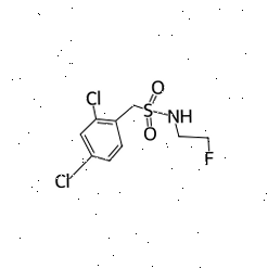 O=S(=O)(Cc1ccc(Cl)cc1Cl)NCCF